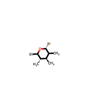 CCC1O[C@H](Br)C(C)[C@@H](C)[C@@H]1C